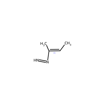 C/C=C(\C)N=N